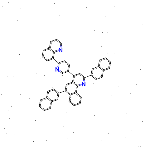 c1ccc2cc(-c3cc(-c4ccc(-c5cccc6cccnc56)nc4)c4cc(-c5ccc6ccccc6c5)c5ccccc5c4n3)ccc2c1